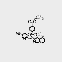 CCOC(=O)c1ccc(S(=O)(=O)N(Cc2ccc(Br)cn2)c2ncc3ccccc3c2C)cc1